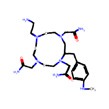 CNc1ccc(CC2CN(CC(N)=O)CCN(CCN)CCN(CC(N)=O)CCN2CC(N)=O)cc1